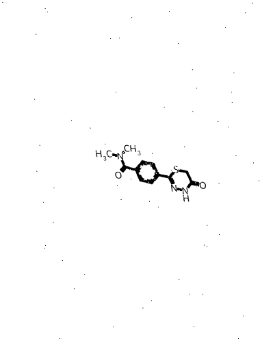 CN(C)C(=O)c1ccc(C2=NNC(=O)CS2)cc1